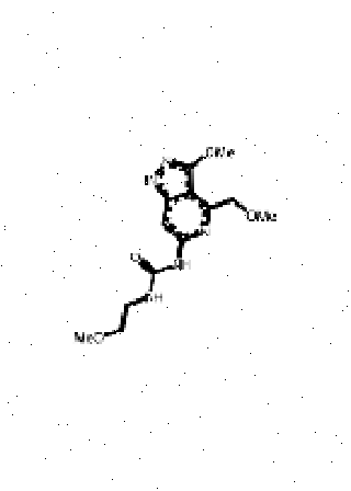 COCCNC(=O)Nc1cc2[nH]nc(OC)c2c(COC)n1